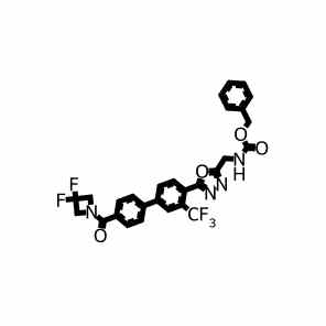 O=C(NCc1nnc(-c2ccc(-c3ccc(C(=O)N4CC(F)(F)C4)cc3)cc2C(F)(F)F)o1)OCc1ccccc1